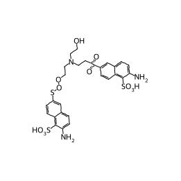 Nc1ccc2cc(SOOCCN(CCO)CCS(=O)(=O)c3ccc4c(S(=O)(=O)O)c(N)ccc4c3)ccc2c1S(=O)(=O)O